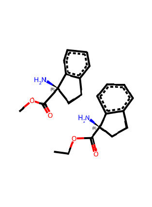 CCOC(=O)[C@@]1(N)CCc2ccccc21.COC(=O)[C@@]1(N)CCc2ccccc21